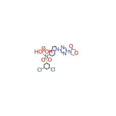 O=C1COCCN1c1cnc(-n2ccc3cc(N(CP(=O)(O)O)S(=O)(=O)c4cc(Cl)cc(Cl)c4)ccc32)cn1